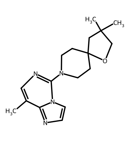 Cc1cnc(N2CCC3(CC2)CC(C)(C)CO3)n2ccnc12